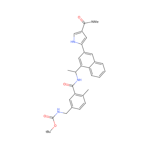 CNC(=O)c1c[nH]c(-c2cc(C(C)NC(=O)c3cc(CNC(=O)OC(C)(C)C)ccc3C)c3ccccc3c2)c1